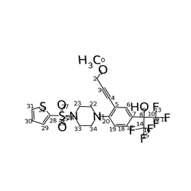 COCC#Cc1cc(C(O)(C(F)(F)F)C(F)(F)F)ccc1N1CCN(S(=O)(=O)c2cccs2)CC1